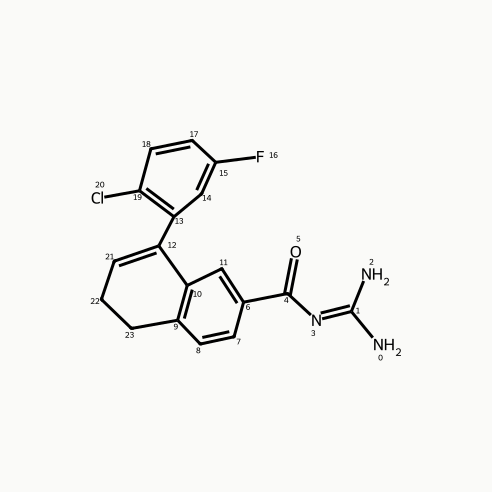 NC(N)=NC(=O)c1ccc2c(c1)C(c1cc(F)ccc1Cl)=CCC2